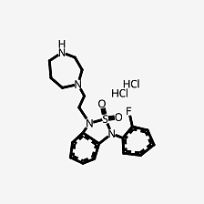 Cl.Cl.O=S1(=O)N(CCN2CCCNCC2)c2ccccc2N1c1ccccc1F